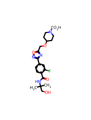 CC(C)(CO)NC(=O)c1ccc(-c2noc(COC3CCN(C(=O)O)CC3)n2)cc1F